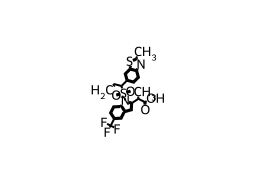 C=CC(c1ccc2nc(C)sc2c1)S(=O)(=O)n1c(C(C)C(=O)O)cc2cc(C(F)(F)F)ccc21